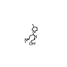 C/N=C/CC(/N=C\CO)N1CC[C@H](C)C1